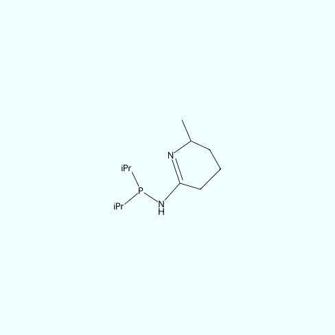 CC1CCCC(NP(C(C)C)C(C)C)=N1